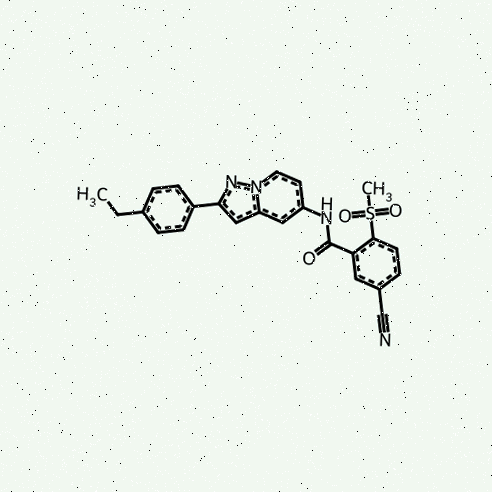 CCc1ccc(-c2cc3cc(NC(=O)c4cc(C#N)ccc4S(C)(=O)=O)ccn3n2)cc1